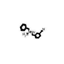 N#Cc1cccc(CNN(N)Cc2ccccc2)c1